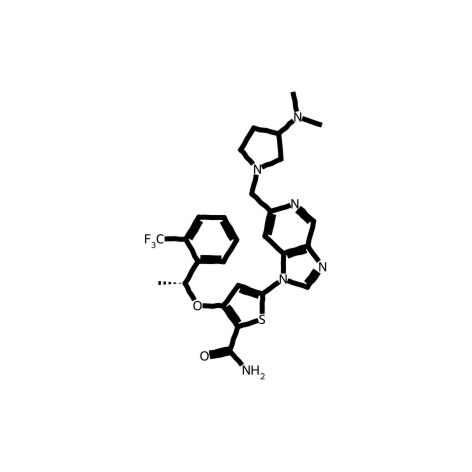 C[C@@H](Oc1cc(-n2cnc3cnc(CN4CCC(N(C)C)C4)cc32)sc1C(N)=O)c1ccccc1C(F)(F)F